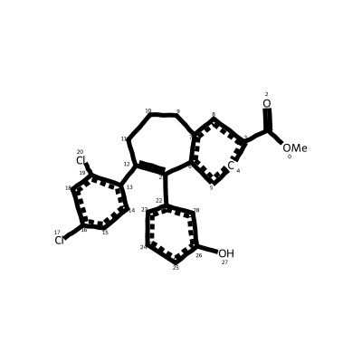 COC(=O)c1ccc2c(c1)CCCC(c1ccc(Cl)cc1Cl)=C2c1cccc(O)c1